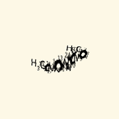 Cc1ccccc1N1Cc2nn(-c3ccc(N4CC[C@H](C)C4)nc3)cc2C1=O